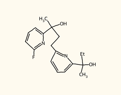 CCC(C)(O)c1cccc(CCC(C)(O)c2cccc(F)n2)n1